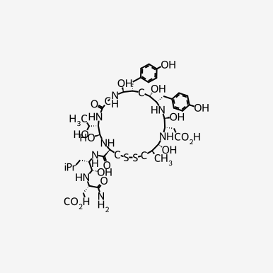 CC(C)C[C@H](NC(=O)[C@@H]1CSSC[C@H](C)[C@@H](O)N[C@@H](CC(=O)O)[C@H](O)N[C@@H](Cc2ccc(O)cc2)[C@@H](O)C[C@@H](Cc2ccc(O)cc2)[C@H](O)NCC(=O)N[C@@H](C(C)O)[C@H](O)N1)[C@H](O)N[C@@H](CC(=O)O)C(N)=O